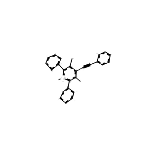 Cc1c(C#Cc2ccccc2)c(C)c(-c2ccccc2)[n+](C)c1-c1ccccc1